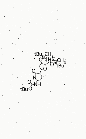 CC(C)(C)OC(=O)NC1=NC(=O)C([C@H]2CC(O[Si](C)(C)C(C)(C)C)[C@@H](CO[Si](C)(C)C(C)(C)C)O2)C=C1